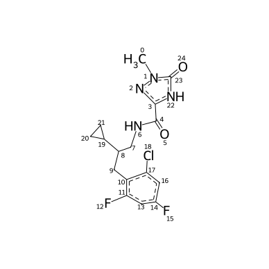 Cn1nc(C(=O)NCC(Cc2c(F)cc(F)cc2Cl)C2CC2)[nH]c1=O